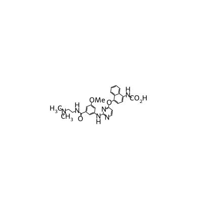 COc1cc(Nc2nccc(Oc3ccc(NC(=O)O)c4ccccc34)n2)cc(C(=O)NCCN(C)C)c1